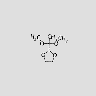 COC(C)(OC)C1OCCO1